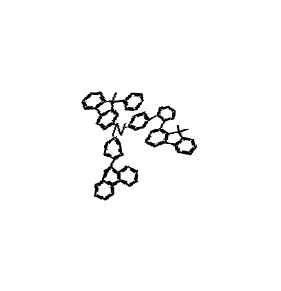 CC1(C)c2ccccc2-c2cccc(-c3ccccc3-c3ccc(N(c4ccc(-c5cc6ccccc6c6ccccc56)cc4)c4ccc5c(c4)C(C)(c4ccccc4)c4ccccc4-5)cc3)c21